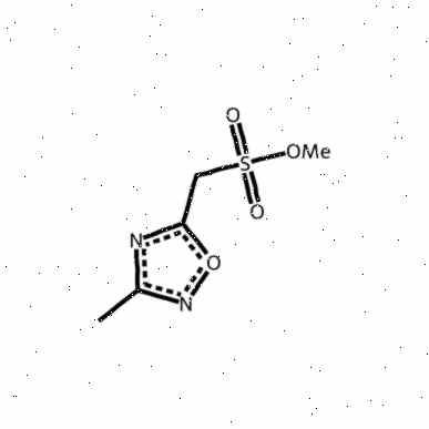 COS(=O)(=O)Cc1nc(C)no1